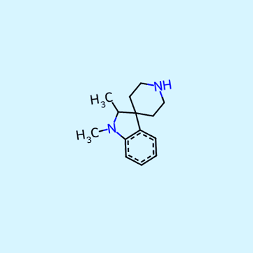 CC1N(C)c2ccccc2C12CCNCC2